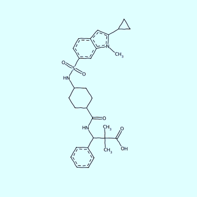 Cn1c(C2CC2)cc2ccc(S(=O)(=O)NC3CCC(C(=O)NC(c4ccccc4)C(C)(C)C(=O)O)CC3)cc21